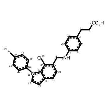 O=C(O)CCc1ccc(NCc2ccc3ccn(-c4ccc(F)cc4)c3c2Cl)cc1